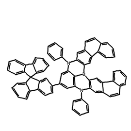 c1ccc(N2c3cc4ccc5ccccc5c4cc3B3c4cc5c(ccc6ccccc65)cc4N(c4ccccc4)c4cc(-c5ccc6c(c5)C5(c7ccccc7-c7ccccc75)c5ccccc5-6)cc2c43)cc1